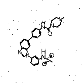 CN1CCN(C(=O)Nc2ccc(-c3ccc4ncn(-c5cccc(NS(C)(=O)=O)c5)c4c3)cc2)CC1